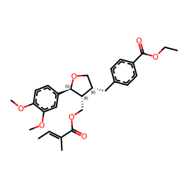 CC=C(C)C(=O)OC[C@H]1[C@@H](Cc2ccc(C(=O)OCC)cc2)CO[C@@H]1c1ccc(OC)c(OC)c1